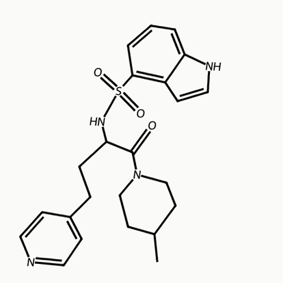 CC1CCN(C(=O)C(CCc2ccncc2)NS(=O)(=O)c2cccc3[nH]ccc23)CC1